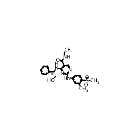 Cc1cc(Nc2ncc(C(=O)NCC(F)(F)F)c(N[C@H](CO)c3ccccc3)n2)ccc1S(C)(=O)=O